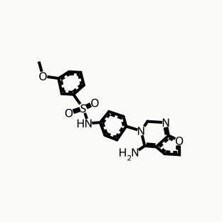 COc1cccc(S(=O)(=O)Nc2ccc(N3CN=c4occc4=C3N)cc2)c1